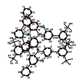 CC(C)(C)c1cc(-c2ccc3c(c2)Sc2cc(-c4ccccc4)cc4c2B3c2cc3c(cc2N4c2cc(C(C)(C)C)cc(C(C)(C)C)c2)N(c2c(-c4ccccc4)cccc2-c2ccccc2)c2cc(-c4ccccc4)cc4c2B3c2ccc(-c3cc(C(C)(C)C)cc(C(C)(C)C)c3)cc2S4)cc(C(C)(C)C)c1